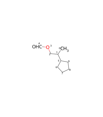 CC(COC=O)C1CCCC1